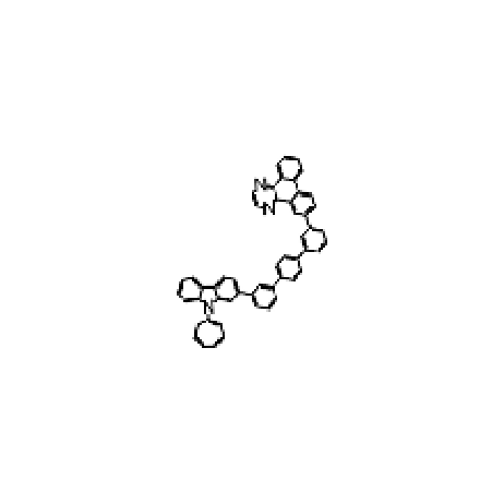 C1=CC=C(n2c3ccccc3c3ccc(-c4cccc(-c5ccc(-c6cccc(-c7ccc8c9ccccc9c9nccnc9c8c7)c6)cc5)c4)cc32)CC=C1